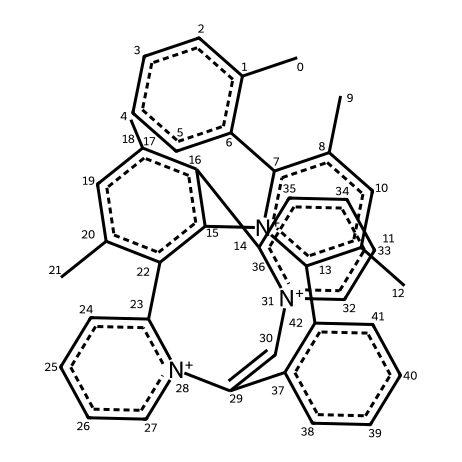 Cc1ccccc1-c1c(C)cc(C)c2[n+]1-c1c3c(C)cc(C)c1-c1cccc[n+]1/C(=C\[n+]1ccccc1-3)c1ccccc1-2